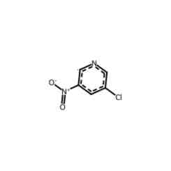 O=[N+]([O-])c1[c]ncc(Cl)c1